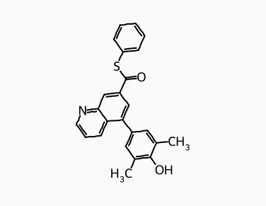 Cc1cc(-c2cc(C(=O)Sc3ccccc3)cc3ncccc23)cc(C)c1O